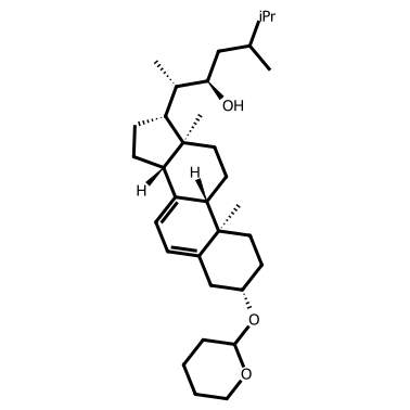 CC(C)C(C)C[C@@H](O)[C@@H](C)[C@H]1CC[C@H]2C3=CC=C4C[C@@H](OC5CCCCO5)CC[C@]4(C)[C@H]3CC[C@]12C